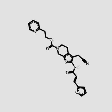 N#CCc1c(NC(=O)/C=C/c2ccco2)sc2c1CCN(C(=O)OCCc1ccccn1)C2